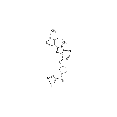 CCn1ncc(-c2nc3c(OC4CCN(C(=O)c5c[nH]nn5)C4)ncnc3n2C)c1C